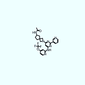 CC(=O)NC1CCC2(C1)CN(c1cc(Nc3cc(OC(F)(F)F)ccn3)nc(-c3cccnc3)n1)C2